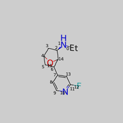 CCN[C@@H]1CC2CC(c3ccnc(F)c3)C1O2